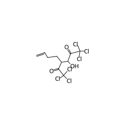 C=CCCC(C(=O)C(Cl)(Cl)Cl)C(O)C(=O)C(Cl)(Cl)Cl